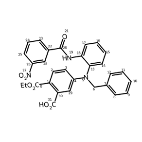 CCOC(=O)c1ccc(N(Cc2ccccc2)c2ccccc2NC(=O)c2cccc([N+](=O)[O-])c2)cc1C(=O)O